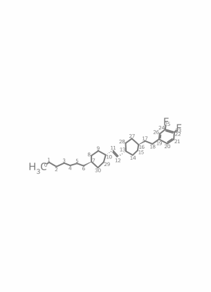 CCCCCCC[C@H]1CC[C@H](/C=C/[C@H]2CC[C@H](CCc3ccc(F)c(F)c3)CC2)CC1